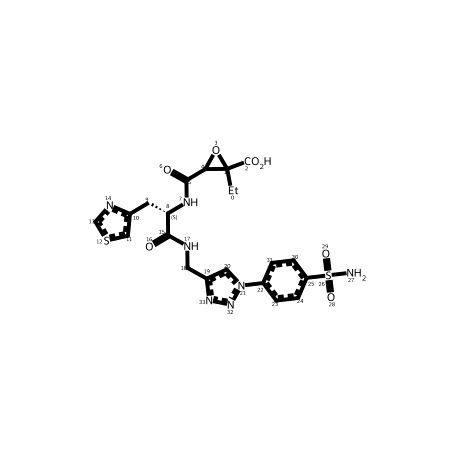 CCC1(C(=O)O)OC1C(=O)N[C@@H](Cc1cscn1)C(=O)NCc1cn(-c2ccc(S(N)(=O)=O)cc2)nn1